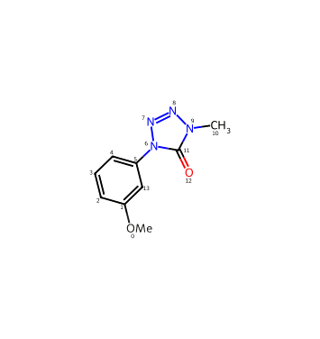 COc1cccc(-n2nnn(C)c2=O)c1